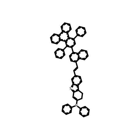 C1=C(N(c2ccccc2)c2ccccc2)CCc2c1sc1cc(/C=C/c3ccc(-c4cc(-c5ccccc5)c5c6ccccc6c6ccccc6c5c4-c4ccccc4)c4ccccc34)ccc21